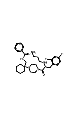 NCCCNC(Cc1ccc(Cl)cc1Cl)C(=O)N1CCN(C2(CNC(=O)c3ccccc3)CCCCC2)CC1